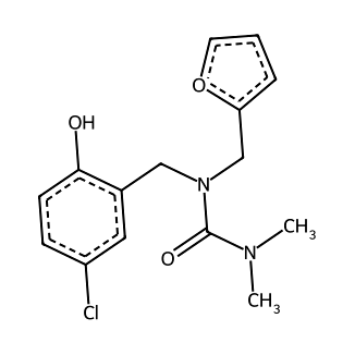 CN(C)C(=O)N(Cc1ccco1)Cc1cc(Cl)ccc1O